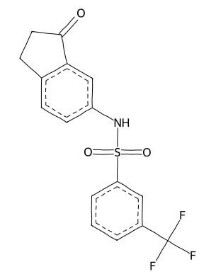 O=C1CCc2ccc(NS(=O)(=O)c3cccc(C(F)(F)F)c3)cc21